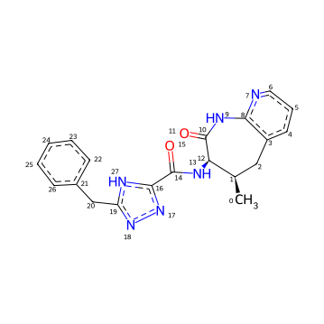 C[C@@H]1Cc2cccnc2NC(=O)[C@@H]1NC(=O)c1nnc(Cc2ccccc2)[nH]1